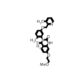 C=C1c2ccc(OCCOC)cc2NC(=O)N1c1cc(OCc2ncccc2C)ccc1C